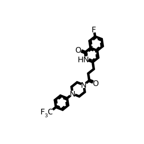 O=C(CCc1cc2ccc(F)cc2c(=O)[nH]1)N1CCN(c2ccc(C(F)(F)F)cc2)CC1